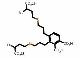 CCOC(=O)C(CC)CCSCCCc1ccc(C(=O)O)c(C(=O)O)c1CCCSCCC(CC)C(=O)OCC